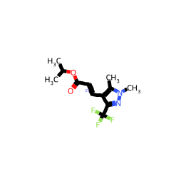 Cc1c(/C=C/C(=O)OC(C)C)c(C(F)(F)F)nn1C